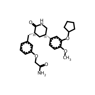 COc1ccc([C@H]2CNC(=O)[C@@H](Cc3cccc(OCC(N)=O)c3)C2)cc1OC1CCCC1